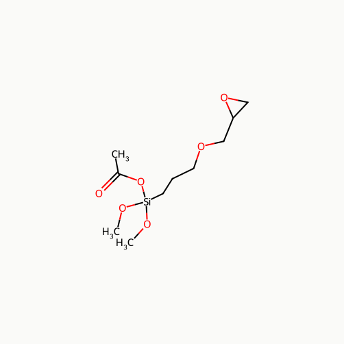 CO[Si](CCCOCC1CO1)(OC)OC(C)=O